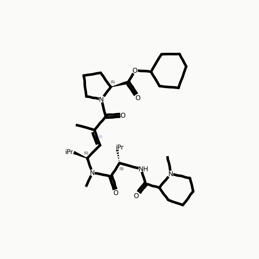 C/C(=C\[C@H](C(C)C)N(C)C(=O)[C@@H](NC(=O)C1CCCCN1C)C(C)C)C(=O)N1CCC[C@H]1C(=O)OC1CCCCC1